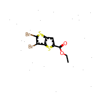 CCOC(=O)c1cc2sc(Br)c(Br)c2s1